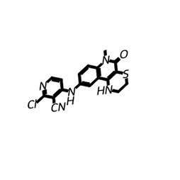 Cn1c(=O)c2c(c3cc(Nc4ccnc(Cl)c4C#N)ccc31)NCCS2